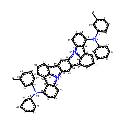 Cc1cccc(N(c2ccccc2)c2cccc3c2c2cccc4c5cc6c(cc5n3c42)c2cccc3c4c(N(c5ccccc5)c5cccc(C)c5)cccc4n6c23)c1